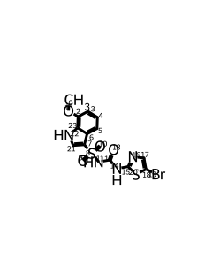 COc1cccc2c(S(=O)(=O)NC(=O)Nc3ncc(Br)s3)c[nH]c12